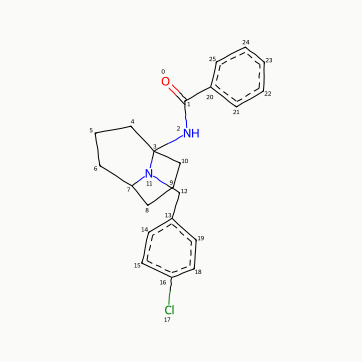 O=C(NC12CCCC(CCC1)N2Cc1ccc(Cl)cc1)c1ccccc1